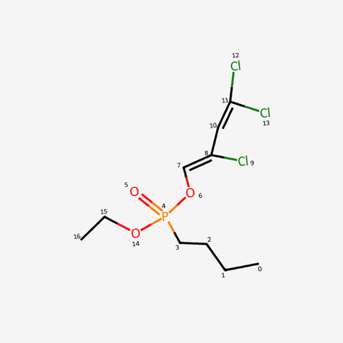 CCCCP(=O)(OC=C(Cl)C=C(Cl)Cl)OCC